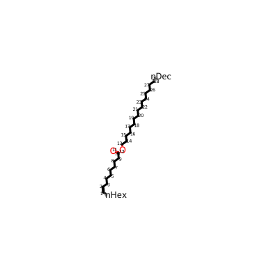 CCCCCC/C=C\CCCCCCCC(=O)OCCCCCCCCCCCCCCCCCCCCCCCCCC